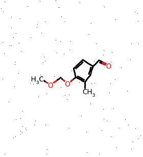 COCOc1ccc(C=O)cc1C